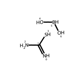 N=C(N)S.OBO